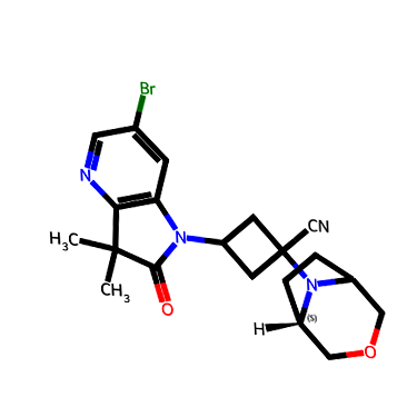 CC1(C)C(=O)N(C2CC(C#N)(N3C4CC[C@H]3COC4)C2)c2cc(Br)cnc21